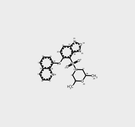 CC1CN(S(=O)(=O)c2c(Sc3cccc4cccnc34)ccc3nonc23)CC(C)O1